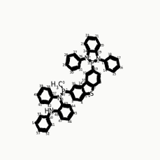 C[P@](c1ccc2sc3ccc(P4N(c5ccccc5)c5ccccc5N4c4ccccc4)cc3c2c1)N(c1ccccc1)c1ccccc1Nc1ccccc1